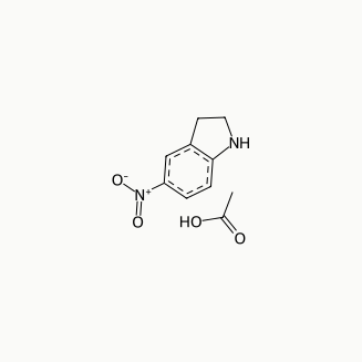 CC(=O)O.O=[N+]([O-])c1ccc2c(c1)CCN2